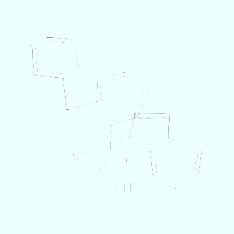 C[CH]=[Ti]([Cl])([Cl])([c]1cccc2c1Cc1ccccc1-2)[CH]1C=Cc2ccccc21